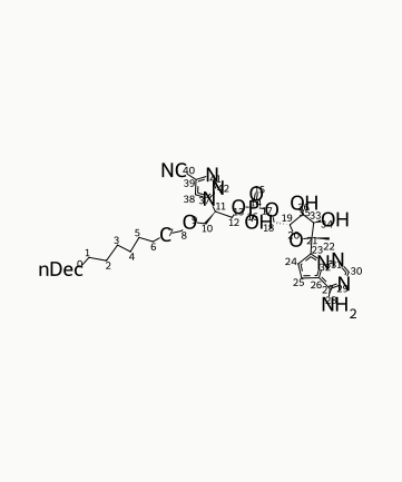 CCCCCCCCCCCCCCCCCCOC[C@H](COP(=O)(O)OC[C@H]1O[C@@](C)(c2ccc3c(N)ncnn23)[C@H](O)[C@@H]1O)n1cc(C#N)nn1